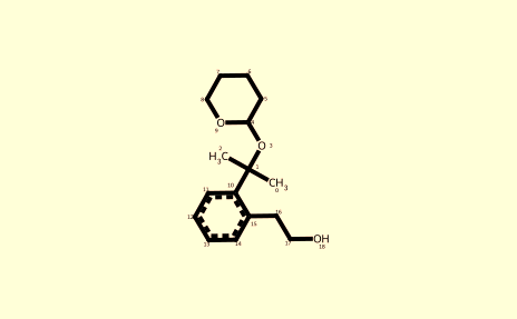 CC(C)(OC1CCCCO1)c1ccccc1CCO